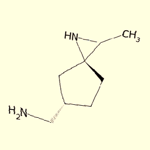 CC1N[C@]12CC[C@H](CN)C2